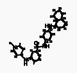 CN1C=CC(Nc2cccc(C(=O)Nc3ccc(Nc4ccnc5ccccc45)cc3)c2)C=C1